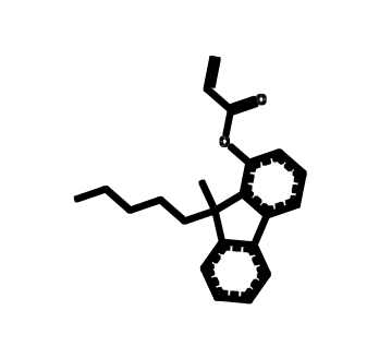 C=CC(=O)Oc1cccc2c1C(C)(CCCCC)c1ccccc1-2